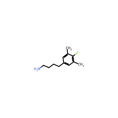 Cc1cc(CCCCN)cc(C)c1F